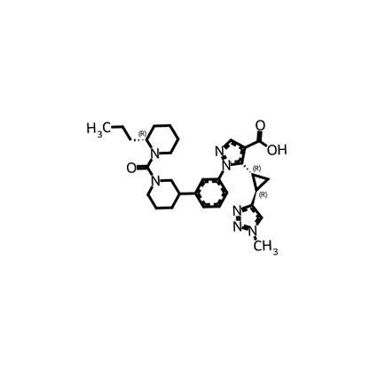 CCC[C@@H]1CCCCN1C(=O)N1CCCC(c2cccc(-n3ncc(C(=O)O)c3[C@@H]3C[C@H]3c3cn(C)nn3)c2)C1